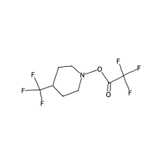 O=C(ON1CCC(C(F)(F)F)CC1)C(F)(F)F